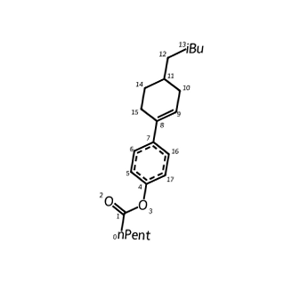 CCCCCC(=O)Oc1ccc(C2=CCC(CC(C)CC)CC2)cc1